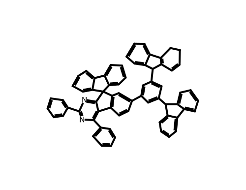 C1=CC2=C(CC1)c1ccccc1C2c1cc(-c2ccc3c(c2)C2(c4ccccc4-c4ccccc42)c2nc(-c4ccccc4)nc(-c4ccccc4)c2-3)cc(C2c3ccccc3-c3ccccc32)c1